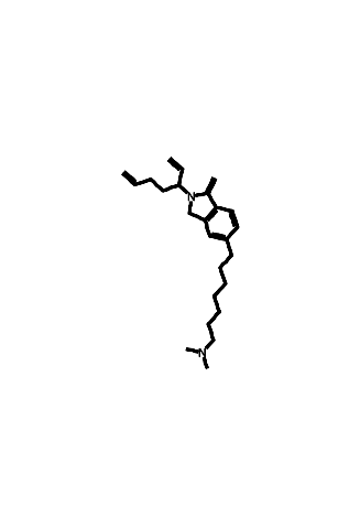 C=CCCC(C=C)N1Cc2cc(CCCCCCCN(C)C)ccc2C1=C